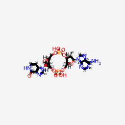 C[C@@H]1[C@@H]2OP(=O)(O)OC[C@H]3O[C@@H](n4cnc5c(=O)[nH]ccc54)[C@H](OP(=O)(O)OC[C@H]2O[C@H]1n1cnc2c(N)ncnc21)[C@@H]3C